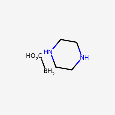 BC(=O)O.C1CNCCN1